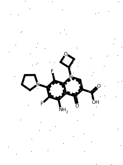 Nc1c(F)c(N2CCCC2)c(F)c2c1c(=O)c(C(=O)O)cn2C1COC1